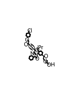 CC(C)Oc1ccc(C(=O)CN2CC(O)C2)cc1-n1c(CN2CCN(C(=O)COc3ccc(Cl)cc3)CC2)nc2ccccc2c1=O